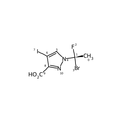 C[C@@](F)(Br)n1cc(I)c(C(=O)O)n1